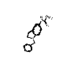 COC(=O)Nc1ccc2c(c1)CCN2Cc1ccccc1